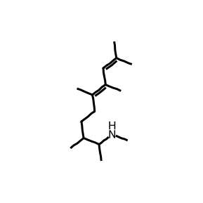 CNC(C)C(C)CC/C(C)=C(\C)C=C(C)C